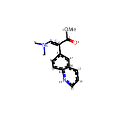 COC(=O)/C(=C/N(C)C)c1ccc2ncccc2c1